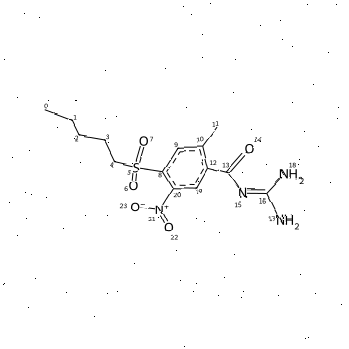 CCCCCS(=O)(=O)c1cc(C)c(C(=O)N=C(N)N)cc1[N+](=O)[O-]